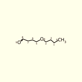 CCCCOCCCC=O